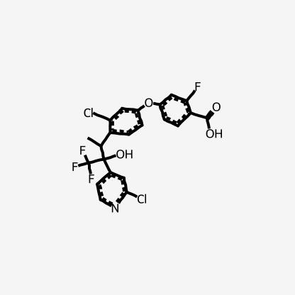 CC(c1ccc(Oc2ccc(C(=O)O)c(F)c2)cc1Cl)C(O)(c1ccnc(Cl)c1)C(F)(F)F